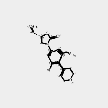 O=C1O[C@@H](CO)CN1c1cc(F)c(C2=CCOCC2)c(F)c1